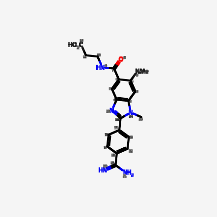 CNc1cc2c(cc1C(=O)NCCC(=O)O)nc(-c1ccc(C(=N)N)cc1)n2C